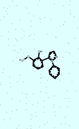 COc1cccc(-c2ccnn2-c2ccccc2)c1O